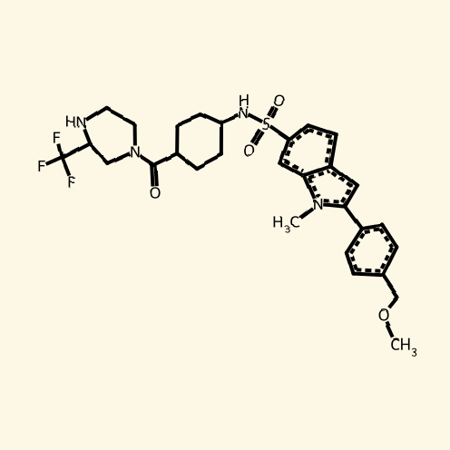 COCc1ccc(-c2cc3ccc(S(=O)(=O)NC4CCC(C(=O)N5CCNC(C(F)(F)F)C5)CC4)cc3n2C)cc1